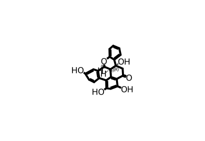 O=C1C[C@]2(O)c3ccccc3O[C@H]3c4cc(O)ccc4-c4c(O)cc(O)c1c4[C@@H]32